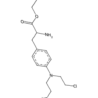 CCOC(=O)C(N)Cc1ccc(N(CCO)CCCl)cc1